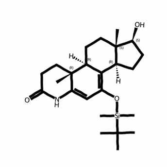 CC(C)(C)[Si](C)(C)OC1=C2[C@@H]3CC[C@H](O)[C@@]3(C)CC[C@@H]2[C@@]2(C)CCC(=O)NC2=C1